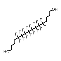 OCCCCC(F)(F)C(F)(F)C(F)(F)C(F)(F)C(F)(F)C(F)(F)C(F)(F)C(F)(F)CCCCO